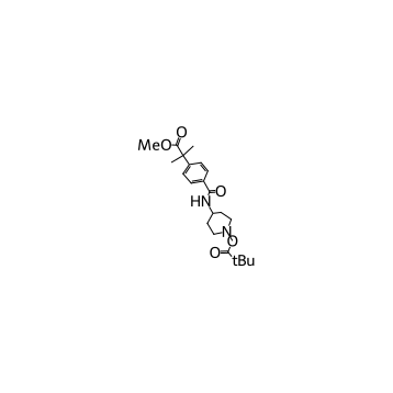 COC(=O)C(C)(C)c1ccc(C(=O)NC2CCN(OC(=O)C(C)(C)C)CC2)cc1